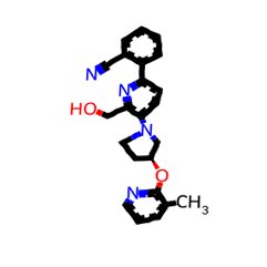 Cc1cccnc1O[C@H]1CCN(c2ccc(-c3ccccc3C#N)nc2CO)C1